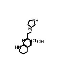 Cl.Cl.c1cc2c(nc1CC[C@@H]1CCNC1)NCCC2